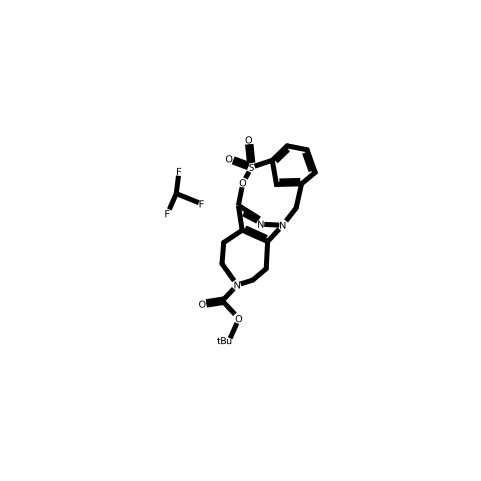 CC(C)(C)OC(=O)N1CCc2c3nn(c2CC1)Cc1cccc(c1)S(=O)(=O)O3.FC(F)F